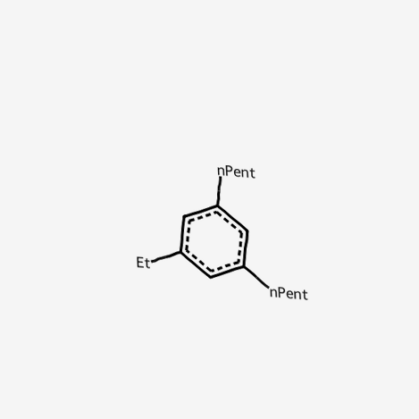 [CH2]Cc1cc(CCCCC)cc(CCCCC)c1